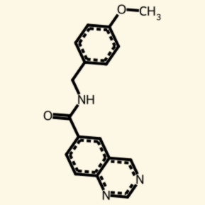 COc1ccc(CNC(=O)c2ccc3ncncc3c2)cc1